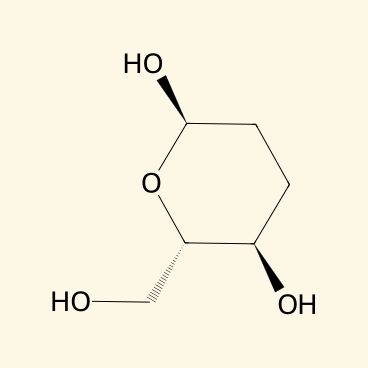 OC[C@@H]1O[C@@H](O)CC[C@H]1O